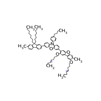 C=C/C=C/CCCOc1cc2c(cc1C)oc1cc(-c3ccc4c(c3)Oc3cc(-c5ccc6c(c5)C(CCCCCCCC)(CCCCCCCC)c5cc(C)ccc5-6)ccc3N4c3ccc(CCCC)cc3)c(OCCC/C=C/C=C)cc12